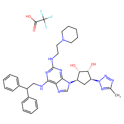 Cc1nnn([C@H]2C[C@@H](n3cnc4c(NCC(c5ccccc5)c5ccccc5)nc(NCCN5CCCCC5)nc43)[C@H](O)[C@@H]2O)n1.O=C(O)C(F)(F)F